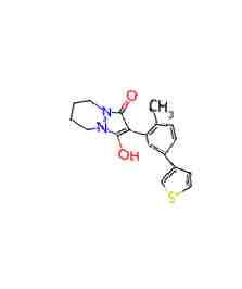 Cc1ccc(-c2ccsc2)cc1-c1c(O)n2n(c1=O)CCCC2